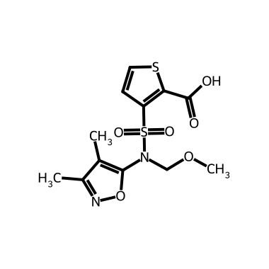 COCN(c1onc(C)c1C)S(=O)(=O)c1ccsc1C(=O)O